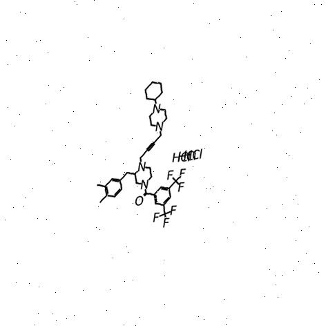 Cc1ccc(CC2CN(C(=O)c3cc(C(F)(F)F)cc(C(F)(F)F)c3)CCN2CC#CCN2CCN(C3CCCCC3)CC2)cc1C.Cl.Cl.Cl